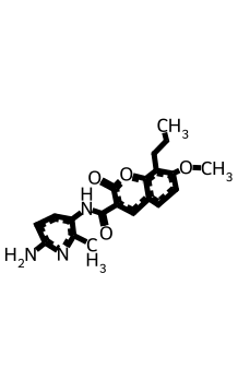 CCCc1c(OC)ccc2cc(C(=O)Nc3ccc(N)nc3C)c(=O)oc12